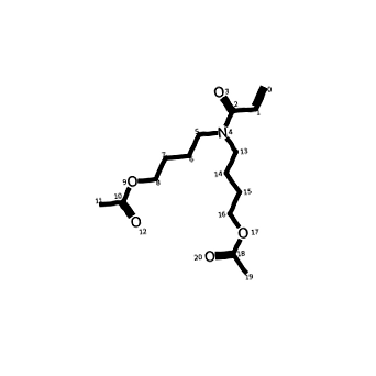 C=CC(=O)N(CCCCOC(C)=O)CCCCOC(C)=O